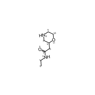 CCNC(=O)[CH]C1CNCCO1